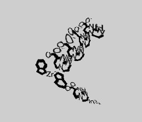 C1=C[CH]([Zr+2][CH]2C=Cc3ccccc32)c2ccccc21.O=C([O-])C1CCN2CCCN=C2N1.O=C([O-])C1CCN2CCCN=C2N1.O=C([O-])C1CCN2CCCN=C2N1.O=C([O-])C1CCN2CCCN=C2N1.O=C([O-])C1CCN2CCCN=C2N1.[In+3]